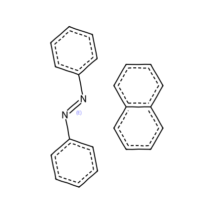 c1ccc(/N=N/c2ccccc2)cc1.c1ccc2ccccc2c1